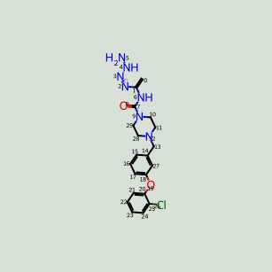 C=C(/N=N\NN)NC(=O)N1CCN(Cc2cccc(Oc3ccccc3Cl)c2)CC1